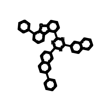 c1ccc(-c2ccc3ccc(-c4nc(-c5ccc6ccccc6c5)nc(-c5cccc6oc7c(-c8ccccc8)cccc7c56)n4)cc3c2)cc1